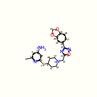 Cc1cc(N)cc(SC2CCN(Cc3nc(-c4ccc5c(c4)OCO5)no3)CC2)n1